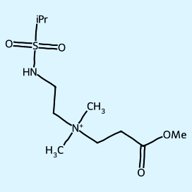 COC(=O)CC[N+](C)(C)CCNS(=O)(=O)C(C)C